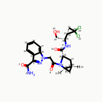 NC(=O)c1nn(CC(=O)N2[C@@H]3C[C@@H]3C[C@H]2C(=O)N[C@H](CO)[C@@H]2CC2(Cl)Cl)c2ccccc12